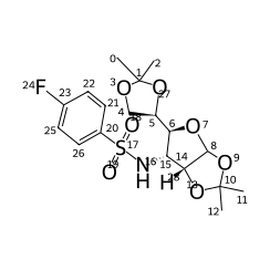 CC1(C)OC[C@H]([C@H]2OC3OC(C)(C)O[C@@H]3[C@@H]2NS(=O)(=O)c2ccc(F)cc2)O1